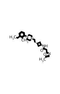 CCc1cccc(N2CCN(CC[C@H]3C[C@@H](NC(=O)Cc4ncc(C)o4)C3)CC2)c1C